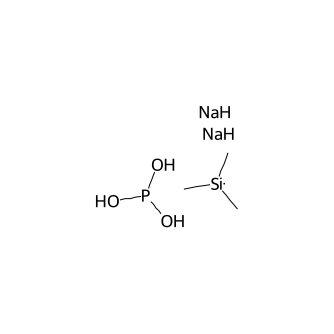 C[Si](C)C.OP(O)O.[NaH].[NaH]